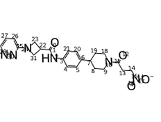 O=C(Nc1ccc(C2CCN(C(=O)CC[N+](=O)[O-])CC2)cc1)C1CN(c2cccnn2)C1